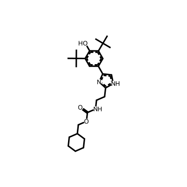 CC(C)(C)c1cc(-c2c[nH]c(CCNC(=O)OCC3CCCCC3)n2)cc(C(C)(C)C)c1O